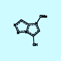 COn1cc(O)n2nncc12